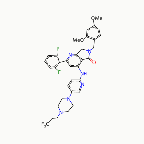 COc1ccc(CN2Cc3nc(-c4c(F)cccc4F)cc(Nc4ccc(N5CCN(CCC(F)(F)F)CC5)cn4)c3C2=O)c(OC)c1